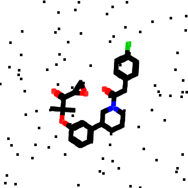 CC(C)(Oc1cccc(C2CCCN(C(=O)Cc3ccc(Cl)cc3)C2)c1)C(=O)C1CO1